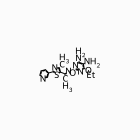 CCOc1nc(O/N=C(\C)c2sc(-c3cccnc3)nc2C)nc(N)c1N